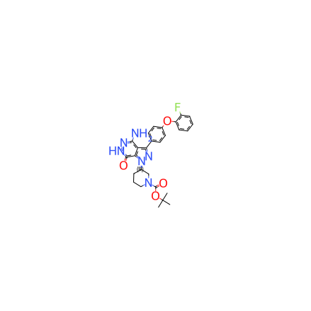 CC(C)(C)OC(=O)N1CCC[C@@H](n2nc(-c3ccc(Oc4ccccc4F)cc3)c3c(N)n[nH]c(=O)c32)C1